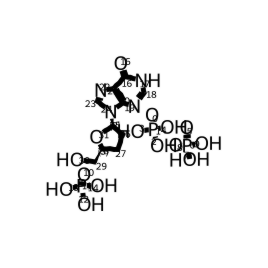 O=P(O)(O)O.O=P(O)(O)O.O=P(O)(O)O.O=c1[nH]cnc2c1ncn2[C@H]1CC[C@@H](CO)O1